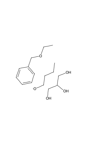 CCCC[O].CCOCc1ccccc1.OCC(O)CO